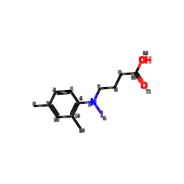 Cc1ccc(N(I)CCCC(=O)O)c(C)c1